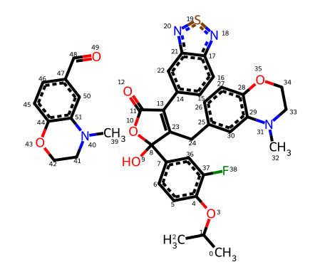 CC(C)Oc1ccc(C2(O)OC(=O)C(c3ccc4nsnc4c3)=C2Cc2ccc3c(c2)N(C)CCO3)cc1F.CN1CCOc2ccc(C=O)cc21